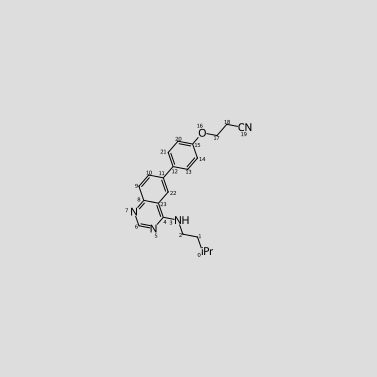 CC(C)CCNc1ncnc2ccc(-c3ccc(OCCC#N)cc3)cc12